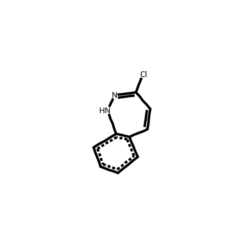 ClC1=NNc2ccccc2C=C1